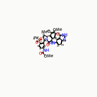 COC(=O)Nc1ccc(S(=O)(=O)C(C)C)c(C2CCCN2C(=O)C(Nc2ccc3nc[nH]c(=O)c3c2)c2ccc(OC)c(OC)c2)c1